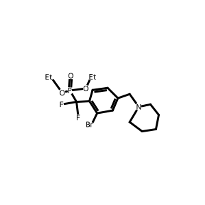 CCOP(=O)(OCC)C(F)(F)c1ccc(CN2CCCCC2)cc1Br